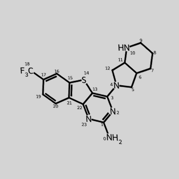 Nc1nc(N2CC3CCCNC3C2)c2sc3cc(C(F)(F)F)ccc3c2n1